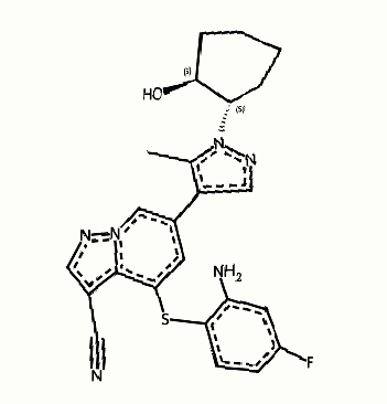 Cc1c(-c2cc(Sc3ccc(F)cc3N)c3c(C#N)cnn3c2)cnn1[C@H]1CCCC[C@@H]1O